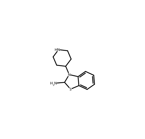 NC1Sc2ccccc2N1C1CCNCC1